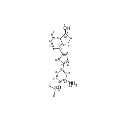 C=C/C=C\C(=C1\CC[C@H](O)C1)c1cnc(-c2ccc(OC(C)C)c(N)c2)s1